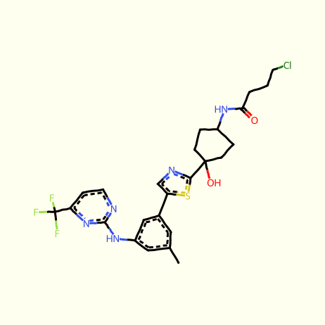 Cc1cc(Nc2nccc(C(F)(F)F)n2)cc(-c2cnc(C3(O)CCC(NC(=O)CCCCl)CC3)s2)c1